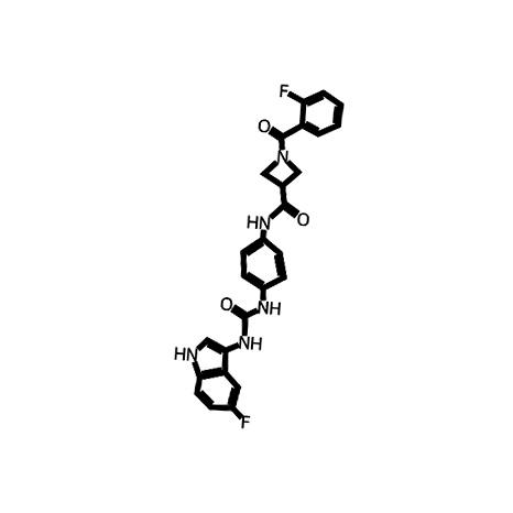 O=C(Nc1ccc(NC(=O)C2CN(C(=O)c3ccccc3F)C2)cc1)Nc1c[nH]c2ccc(F)cc12